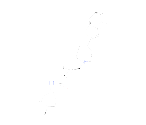 C[C@H]1CC[C@H](NC(=O)[C@@H]2C[C@H]2CN2CCC(c3cc4ccccc4s3)CC2)CC1